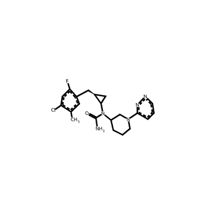 Cc1cc(C[C@H]2CC2N(C(N)=O)C2CCCN(c3cccnn3)C2)c(F)cc1Cl